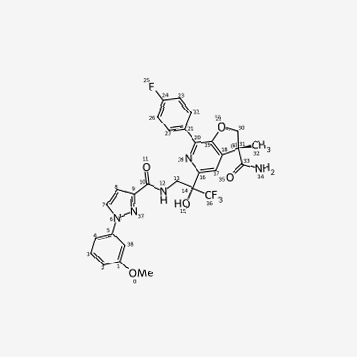 COc1cccc(-n2ccc(C(=O)NCC(O)(c3cc4c(c(-c5ccc(F)cc5)n3)OC[C@]4(C)C(N)=O)C(F)(F)F)n2)c1